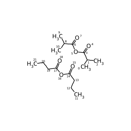 CC(C)C(=O)OC(=O)C(C)C.CCCC(=O)OC(=O)CCC